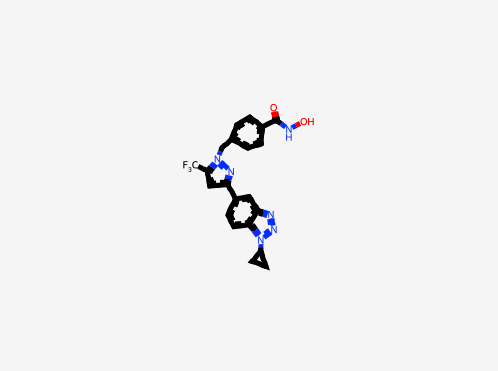 O=C(NO)c1ccc(Cn2nc(-c3ccc4c(c3)nnn4C3CC3)cc2C(F)(F)F)cc1